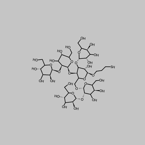 OCC1O[C@H](O[C@H]2C(O)[C@H](O)C(CO)O[C@H]2OCC2O[C@H](OCCCS)[C@@H](O)C(O[C@@H]3OC(CO)[C@@H](O)C(O)[C@@H]3O)[C@@H]2O[C@@H]2OC(CO)[C@@H](O)C(O)[C@@H]2O[C@@H]2OC(CO)[C@@H](O)C(O)[C@@H]2O)[C@@H](O)C(O)[C@@H]1O